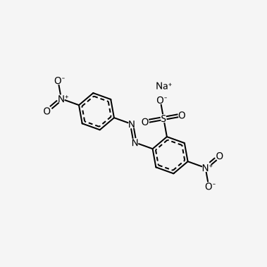 O=[N+]([O-])c1ccc(/N=N/c2ccc([N+](=O)[O-])cc2S(=O)(=O)[O-])cc1.[Na+]